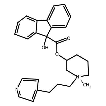 C[N@@+]1(CCCc2ccncc2)CCCC(OC(=O)C2(O)c3ccccc3-c3ccccc32)C1